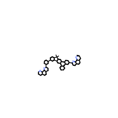 CC1(C)c2ccc(-c3cccc(-c4ccc5ccc6cccnc6c5n4)c3)cc2-c2cc3c4ccccc4c4cc(-c5ccc6ccc7cccnc7c6n5)ccc4c3cc21